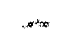 Nc1ccc(OCC(=O)NCc2ccncc2)cc1